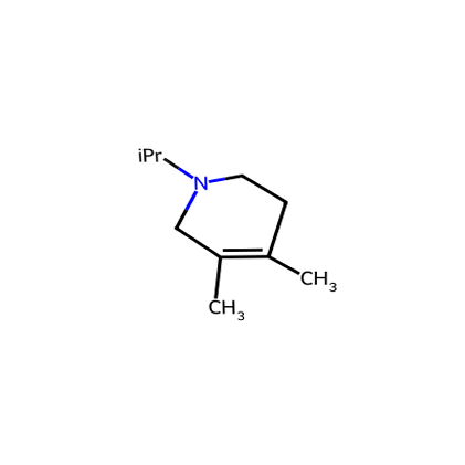 CC1=C(C)CN(C(C)C)CC1